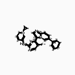 Fc1cnc(NC2=CN(C3CC3)CC=C2)nc1-c1cnc2ccc(-c3ccccc3)cn12